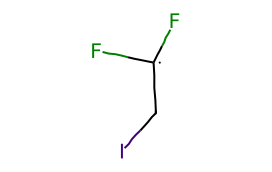 F[C](F)CI